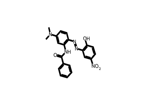 CN(C)c1ccc(N=Nc2cc([N+](=O)[O-])ccc2O)c(NC(=O)c2ccccc2)c1